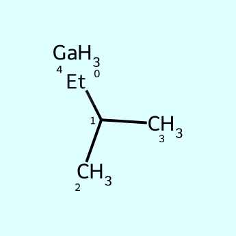 [CH2]CC(C)C.[GaH3]